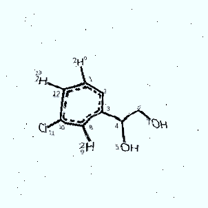 [2H]c1cc(C(O)CO)c([2H])c(Cl)c1[2H]